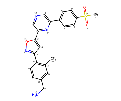 CC(C)S(=O)(=O)c1ccc(-c2cn[c]c(-c3cc(-c4ccc(CN)cc4C(F)(F)F)no3)n2)cc1